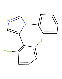 Fc1cccc(F)c1-c1cncn1-c1ccccc1